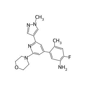 Cc1cc(F)c(N)cc1-c1cc(-c2cnn(C)c2)nc(N2CCOCC2)c1